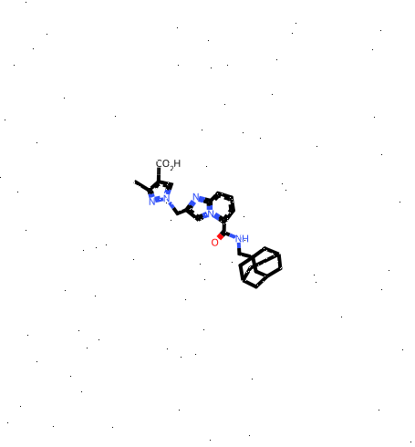 Cc1nn(Cc2cn3c(C(=O)NCC45CC6CC(CC(C6)C4)C5)cccc3n2)cc1C(=O)O